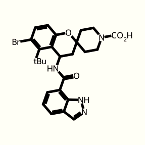 CC(C)(C)c1c(Br)ccc2c1C(NC(=O)c1cccc3cn[nH]c13)CC1(CCN(C(=O)O)CC1)O2